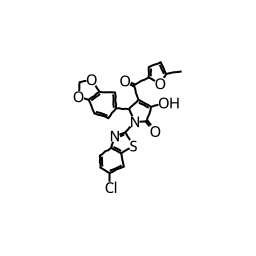 Cc1ccc(C(=O)C2=C(O)C(=O)N(c3nc4ccc(Cl)cc4s3)C2c2ccc3c(c2)OCO3)o1